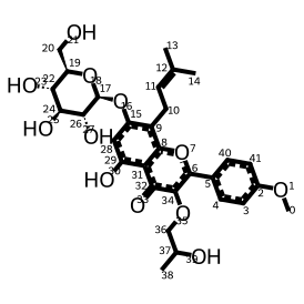 COc1ccc(-c2oc3c(CC=C(C)C)c(O[C@@H]4O[C@H](CO)[C@@H](O)[C@H](O)[C@H]4O)cc(O)c3c(=O)c2OCC(C)O)cc1